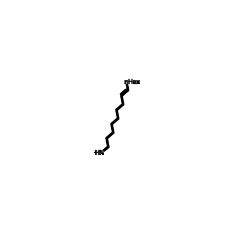 CCCCCC/C=C/CCCCCCC[NH]